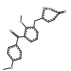 COc1ccc(C(=O)c2cccc(Cc3ccc(=O)[nH]n3)c2OC)cc1